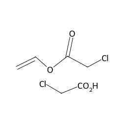 C=COC(=O)CCl.O=C(O)CCl